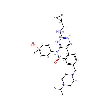 CC(C)N1CCN(Cc2ccc3c(c2)c(=O)n(C2CCC(C)(O)CC2)c2nc(NCC4CC4)ncc32)CC1